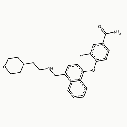 NC(=O)c1ccc(Oc2ccc(CNCCC3CCOCC3)c3ccccc23)c(F)c1